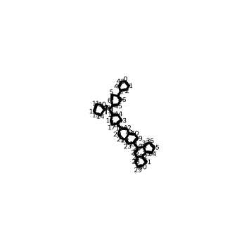 c1ccc(-c2ccc(N(c3ccccc3)c3ccc(-c4ccc5cc(-c6cc7ccccc7c7ccccc67)ccc5c4)cc3)cc2)cc1